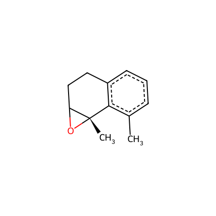 Cc1cccc2c1[C@]1(C)OC1CC2